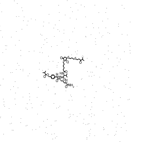 CC(C)C(=O)CCSCCCSC1CC(=O)N(CCCCCC(=O)N[C@H](C(=O)N[C@@H](CCCNC(N)=O)C(=O)Nc2ccc(COC(=O)C(C)C)cc2)C(C)C)C1=O